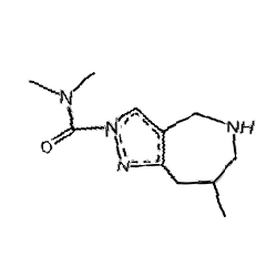 CC1CNCc2cn(C(=O)N(C)C)nc2C1